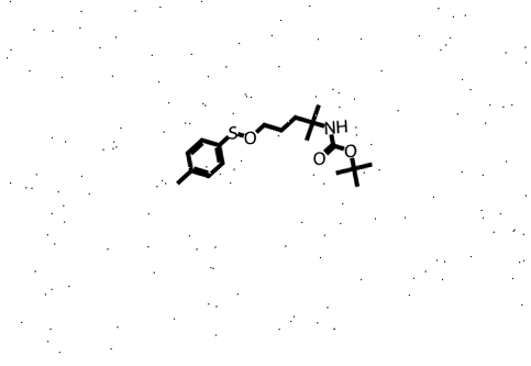 Cc1ccc(SOCCCC(C)(C)NC(=O)OC(C)(C)C)cc1